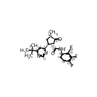 CN1C[C@H](c2cc(C(C)(C)C)ncn2)[C@@H](C(=O)Nc2ccc(F)c(F)c2F)C1=O